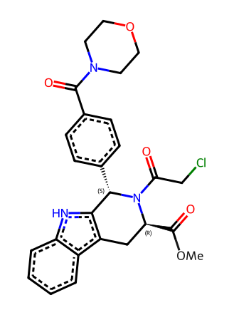 COC(=O)[C@H]1Cc2c([nH]c3ccccc23)[C@H](c2ccc(C(=O)N3CCOCC3)cc2)N1C(=O)CCl